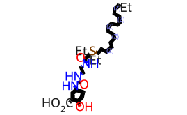 CC/C=C\C/C=C\C/C=C\C/C=C\C/C=C\CCSC(CC)(CC)C(=O)NCCNC(=O)Nc1ccc(O)c(C(=O)O)c1